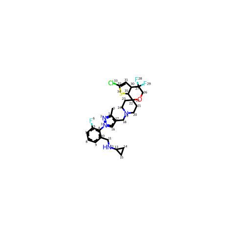 Cc1nn(-c2c(F)cccc2CNC2CC2)cc1CN1CCC2(CC1)OCC(F)(F)C1C=C(Cl)SC12